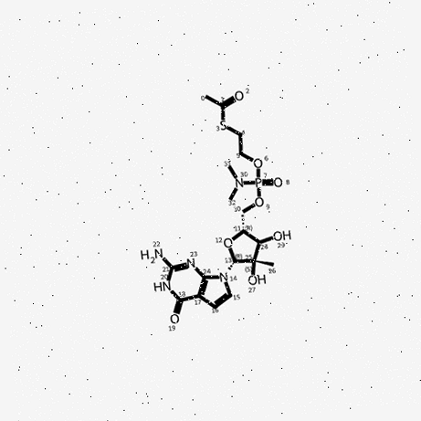 CC(=O)SCCOP(=O)(OC[C@H]1O[C@@H](n2ccc3c(=O)[nH]c(N)nc32)[C@@](C)(O)C1O)N(C)C